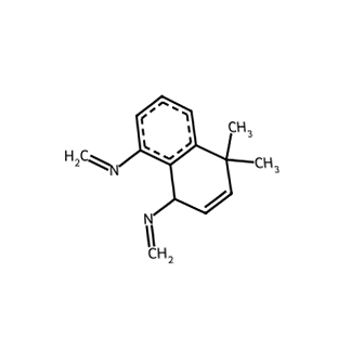 C=Nc1cccc2c1C(N=C)C=CC2(C)C